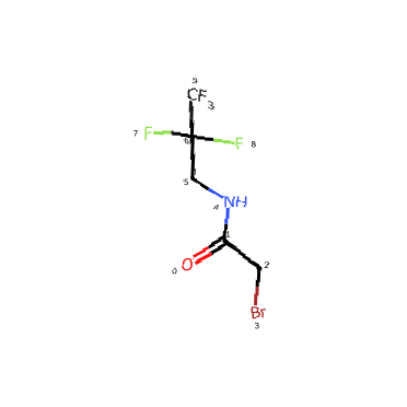 O=C(CBr)NCC(F)(F)C(F)(F)F